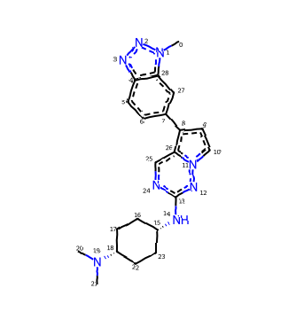 Cn1nnc2ccc(-c3ccn4nc(N[C@H]5CC[C@@H](N(C)C)CC5)ncc34)cc21